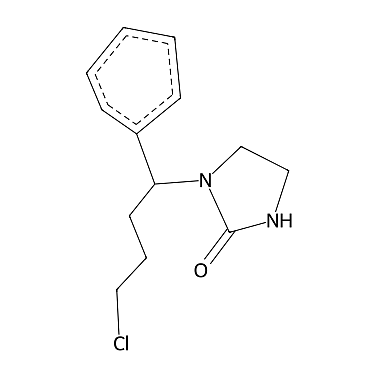 O=C1NCCN1C(CCCCl)c1ccccc1